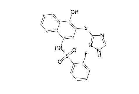 O=S(=O)(Nc1cc(Sc2nc[nH]n2)c(O)c2ccccc12)c1ccccc1F